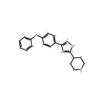 c1ccc(Oc2ccc(-c3noc(C4CCOCC4)n3)cc2)cc1